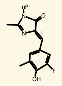 CCCN1C(=O)/C(=C/c2cc(C)c(O)c(F)c2)N=C1C